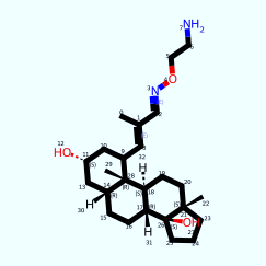 CC(/C=N/OCCN)=C\C1C[C@@H](O)C[C@H]2CC[C@@H]3[C@H](CC[C@]4(C)CCC[C@]34O)[C@@]12C